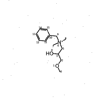 COCC(O)C[N+](C)(C)Cc1ccccc1